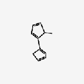 CC1C=CC=C1C1=CC=CC1